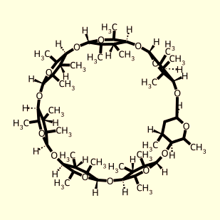 CC1[C@@H]2OC(C)[C@@H](O[C@@H]3C[C@@H](C)[C@H](O[C@@H]4OC(C)[C@@H](O[C@@H]5OC(C)[C@@H](O[C@H]6OC(C)[C@@H](O[C@@H]7OC(C)[C@@H](O[C@@H]8OC(C)[C@@H](O2)[C@H](C)C8C)[C@H](C)C7C)[C@H](C)C6C)[C@H](C)C5C)[C@H](C)C4C)C(C)O3)[C@@H]1C